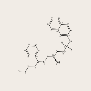 CCCCC(OC[C@H](O)CNC(C)(C)Cc1ccc2ccccc2c1)c1ccccc1